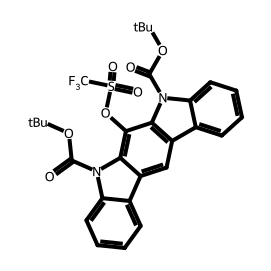 CC(C)(C)OC(=O)n1c2ccccc2c2cc3c4ccccc4n(C(=O)OC(C)(C)C)c3c(OS(=O)(=O)C(F)(F)F)c21